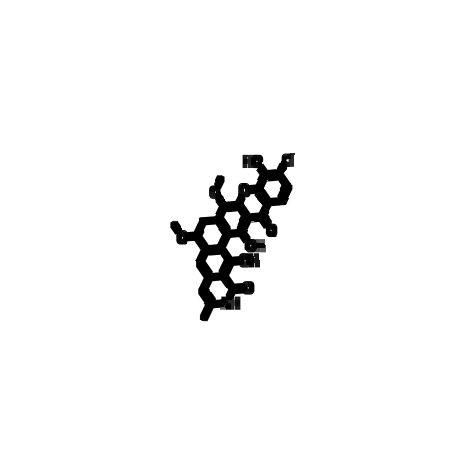 COc1c2c(c(O)c3c(=O)c4ccc(Cl)c(O)c4oc13)-c1c(cc3cc(C)[nH]c(=O)c3c1O)C(OC)C2